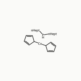 C1=C[CH]([Co][CH]2C=CC=C2)C=C1.CCCCCCCPCCCCCCC